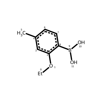 CCOc1cc(C)ccc1B(O)O